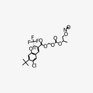 CC(CON=O)OC(=O)OCOC(=O)C1=Cc2cc(Cl)c(C(C)(C)C)cc2O[C@@H]1C(F)(F)F